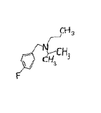 CCCN(Cc1ccc(F)cc1)C(C)C